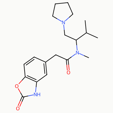 CC(C)C(CN1CCCC1)N(C)C(=O)Cc1ccc2oc(=O)[nH]c2c1